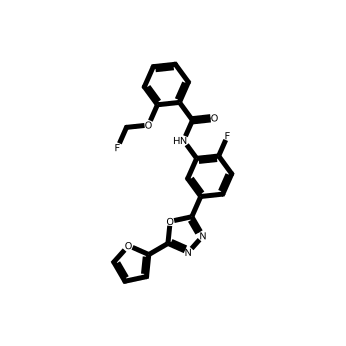 O=C(Nc1cc(-c2nnc(-c3ccco3)o2)ccc1F)c1ccccc1OCF